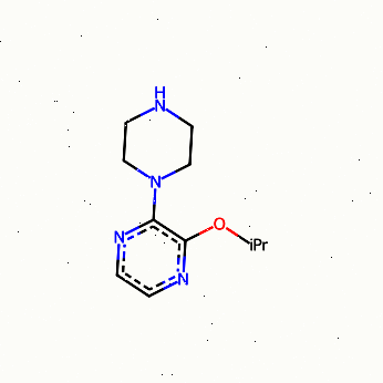 CC(C)Oc1nccnc1N1CCNCC1